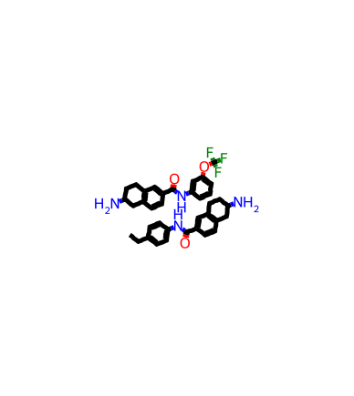 CCc1ccc(NC(=O)c2ccc3c(c2)CCC(N)C3)cc1.NC1CCc2cc(C(=O)Nc3cccc(OC(F)(F)F)c3)ccc2C1